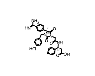 C[C@]1(c2ccc(C(=N)N)cc2)C(=O)N(CC(=O)N[C@@H](CC(=O)O)c2ccccc2)C(=O)N1Cc1ccccc1.Cl